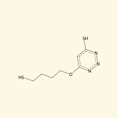 SCCCCOc1cc(S)nnn1